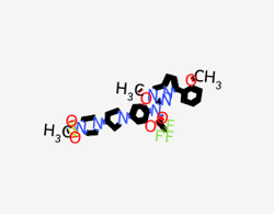 COc1ccccc1-c1ccc2cnc(N(OC(=O)C(F)(F)F)c3ccc(N4CCC(N5CCN(S(C)(=O)=O)CC5)CC4)cc3OC)nn12